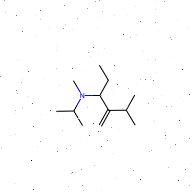 C=C(C(C)C)C(CC)N(C)C(C)C